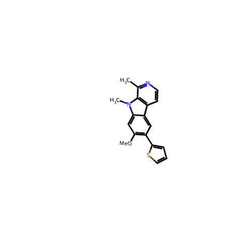 COc1cc2c(cc1-c1cccs1)c1ccnc(C)c1n2C